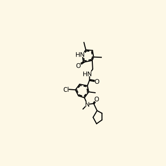 Cc1cc(C)c(CNC(=O)c2cc(Cl)cc(N(C)C(=O)C3CCCC3)c2C)c(=O)[nH]1